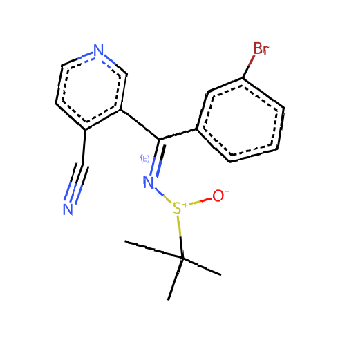 CC(C)(C)[S+]([O-])/N=C(\c1cccc(Br)c1)c1cnccc1C#N